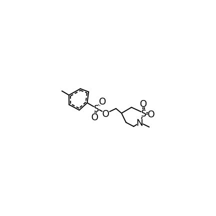 Cc1ccc(S(=O)(=O)OCC2CCN(C)S(=O)(=O)C2)cc1